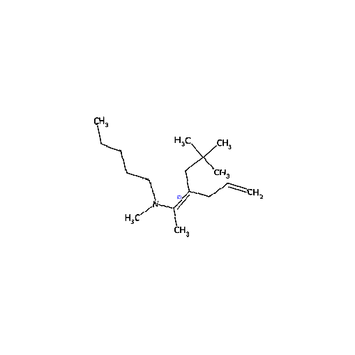 C=CC/C(CC(C)(C)C)=C(\C)N(C)CCCCC